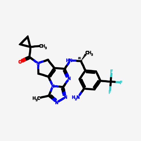 Cc1nnc2nc(N[C@H](C)c3cc(N)cc(C(F)(F)F)c3)c3c(n12)CN(C(=O)C1(C)CC1)C3